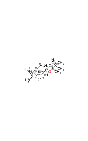 C#C[C@H](C)[C@H]1CC[C@H]2[C@@H](O[Si](C)(C)C(C)(C)C)CCC[C@]12C